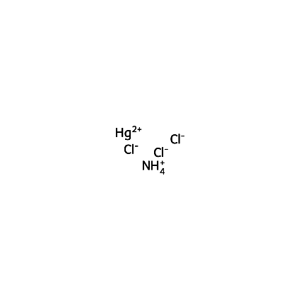 [Cl-].[Cl-].[Cl-].[Hg+2].[NH4+]